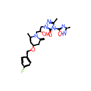 C=C1CC(OCc2ccc(F)cc2)CC(C)N1CC(O)Cn1nc(C)n(-c2nc(C)no2)c1=O